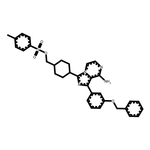 Cc1ccc(S(=O)(=O)OCC2CCC(c3nc(-c4cccc(OCc5ccccc5)c4)c4c(N)nccn34)CC2)cc1